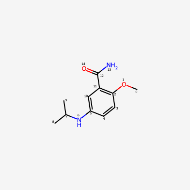 COc1ccc(NC(C)C)cc1C(N)=O